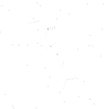 CCCOC(=O)OC(C)(CC)C(C)(C)COC(C)N